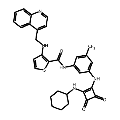 O=C(Nc1cc(Nc2c(NC3CCCCC3)c(=O)c2=O)cc(C(F)(F)F)c1)c1sccc1NCc1ccnc2ccccc12